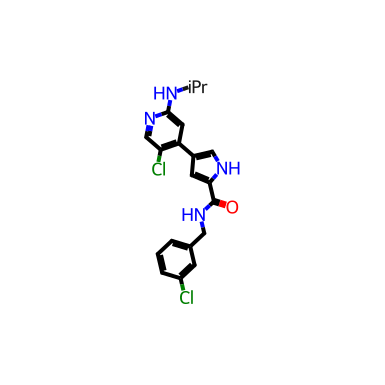 CC(C)Nc1cc(-c2c[nH]c(C(=O)NCc3cccc(Cl)c3)c2)c(Cl)cn1